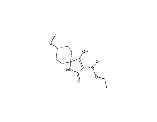 CCOC(=O)C1=C(O)C2(CCC(OC)CC2)NC1=O